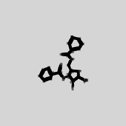 O=C(OC[C@H]1OC(O)[C@@H](F)[C@@H]1OC(=O)c1ccccc1)c1ccccc1